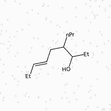 [CH2]C/C=C/CC(CCC)C(O)CC